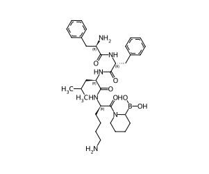 CC(C)C[C@@H](NC(=O)[C@@H](Cc1ccccc1)NC(=O)[C@H](N)Cc1ccccc1)C(=O)N[C@H](CCCCN)C(=O)N1CCCCC1B(O)O